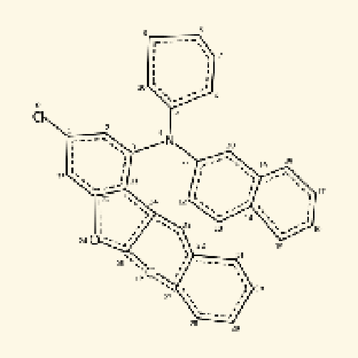 Clc1cc(N(c2ccccc2)c2ccc3ccccc3c2)c2c(c1)oc1cc3ccccc3cc12